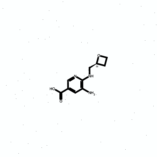 Nc1cc(C(=O)O)cnc1NC[C@@H]1CCO1